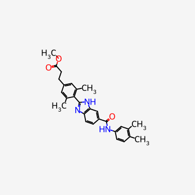 COC(=O)CCc1cc(C)c(-c2nc3ccc(C(=O)Nc4ccc(C)c(C)c4)cc3[nH]2)c(C)c1